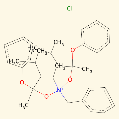 CC[N+](Cc1ccccc1)(OC(C)(CC(C)C)Oc1ccccc1)OC(C)(CC(C)C)Oc1ccccc1.[Cl-]